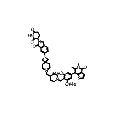 COc1cc(-c2c(C)n(C)c(=O)c3ccsc23)cc(OC)c1CN1CCC(CN2CCC3(CC2)CN(c2ccc4c(c2)C(=O)N(C2CCC(=O)NC2=O)C4)C3)CC1